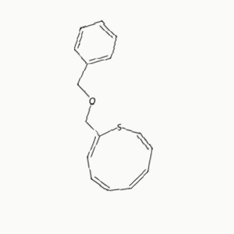 c1cccsc(COCc2ccccc2)ccc1